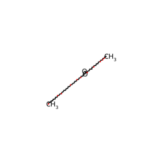 CCCCCCCCCCCCCCCCCCCCCCCCCCCCCCCCCCOC(=O)CCCCCCCCCCCCCCCCCCC